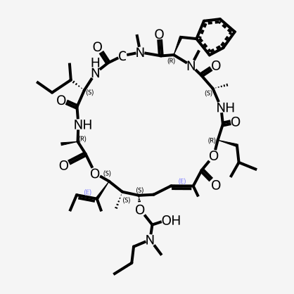 C/C=C(\C)[C@H]1OC(=O)[C@@H](C)NC(=O)[C@H](C(C)CC)NC(=O)CN(C)C(=O)[C@@H](Cc2ccccc2)N(C)C(=O)[C@H](C)NC(=O)[C@@H](CC(C)C)OC(=O)/C(C)=C/C[C@H](OC(O)N(C)CCC)[C@@H]1C